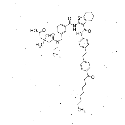 CCCCCCCCC(=O)c1ccc(CCc2ccc(NC(=O)c3c(NC(=O)c4cccc(CN(CCC)C(=O)CC(C)(C)CC(=O)O)c4)sc4c3CCCC4)cc2)cc1